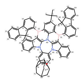 CC(C)(C)c1cc2c3c(c1)B(c1cccc4c1C(C)(C)c1ccccc1-4)c1c4ccccc4n4c5cc6c(cc5n5c7ccccc7c(c5n-3c14)B2c1cccc2c1C(C)(C)c1ccccc1-2)C1CC2CC(C1)CC6C2